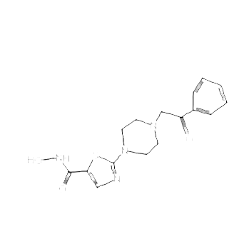 O=C(CN1CCN(c2ncc(C(=O)NO)s2)CC1)c1ccccc1